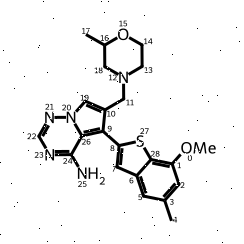 COc1cc(C)cc2cc(-c3c(CN4CCOC(C)C4)cn4ncnc(N)c34)sc12